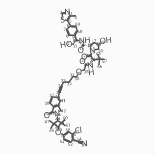 Cc1ncsc1-c1ccc([C@H](CO)NC(=O)[C@@H]2C[C@@H](O)CN2C(=O)[C@@H](NC(=O)COCCCCC#Cc2ccc3c(c2)CN(C2C(C)(C)C(Oc4ccc(C#N)c(Cl)c4)C2(C)C)C3=O)C(C)(C)C)cc1